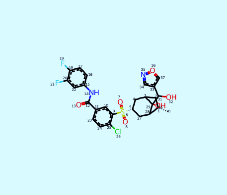 C[C@H]1CC2C[C@@H](S(=O)(=O)c3cc(C(=O)Nc4ccc(F)c(F)c4)ccc3Cl)CC1[C@@]2(O)C(O)c1cnoc1